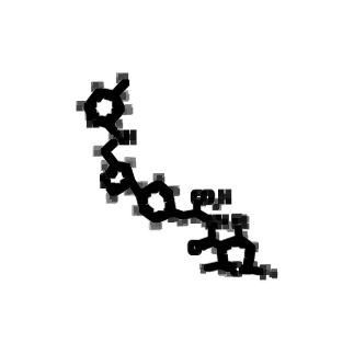 CCc1cc(F)cc(C)c1C(=O)NC(Cc1ccc(-c2csc(CNc3cc(C)ccn3)c2)cc1)C(=O)O